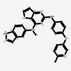 Cc1ccc(Oc2ccc(Nc3nc(N(C)c4ccc5[nH]ncc5c4)c4sccc4n3)cc2)cn1